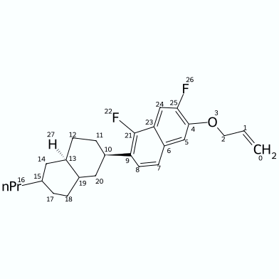 C=CCOc1cc2ccc([C@@H]3CC[C@@H]4CC(CCC)CCC4C3)c(F)c2cc1F